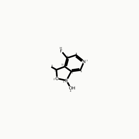 CC1OB(O)c2cncc(F)c21